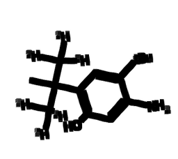 [2H]C([2H])([2H])C(C)(c1cc(C(C)(C)C)c(N)cc1O)C([2H])([2H])[2H]